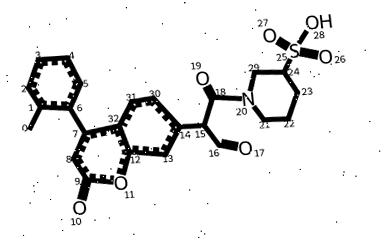 Cc1ccccc1-c1cc(=O)oc2cc(C(C=O)C(=O)N3CCCC(S(=O)(=O)O)C3)ccc12